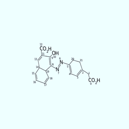 O=C(O)CC1=CC=C(/N=N/C2=C(O)C(C(=O)O)=CC3C=CC=CC23)CC1